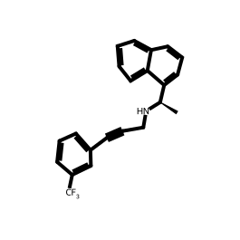 C[C@@H](NCC#Cc1cccc(C(F)(F)F)c1)c1cccc2ccccc12